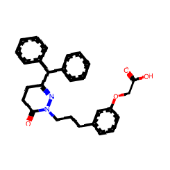 O=C(O)COc1cccc(CCCN2N=C(C(c3ccccc3)c3ccccc3)CCC2=O)c1